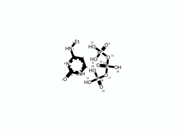 CCNc1cc[nH]c(=O)n1.O=P(O)(O)OP(=O)(O)OP(=O)(O)O